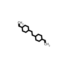 C=CC1CCC(CCC2CCC(C=C)CC2)CC1